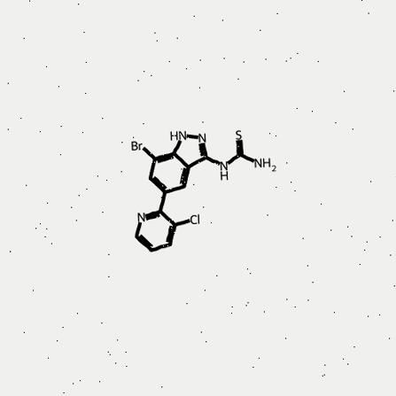 NC(=S)Nc1n[nH]c2c(Br)cc(-c3ncccc3Cl)cc12